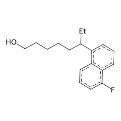 CCC(CCCCCO)c1cccc2c(F)cccc12